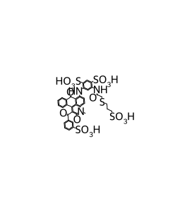 Cn1c(=O)c(C(=O)c2cccc(S(=O)(=O)O)c2)c2c3c(c(Nc4cc(NC(=O)CSCCCS(=O)(=O)O)c(S(=O)(=O)O)cc4S(=O)(=O)O)ccc31)C(=O)c1ccccc1-2